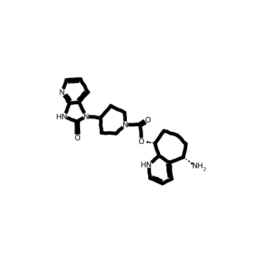 N[C@H]1CCC[C@@H](OC(=O)N2CCC(n3c(=O)[nH]c4ncccc43)CC2)C2NC=CC=C21